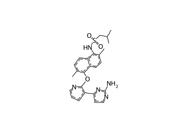 Cc1ccc2c(Oc3ncccc3-c3ccnc(N)n3)c(C)ccc2c1NS(=O)(=O)CC(C)C